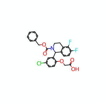 O=C(O)COc1ccc(Cl)cc1C1c2ccc(F)c(F)c2CCN1C(=O)OCc1ccccc1